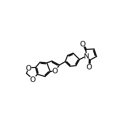 O=C1C=CC(=O)N1c1ccc(-c2cc3cc4c(cc3o2)OCO4)cc1